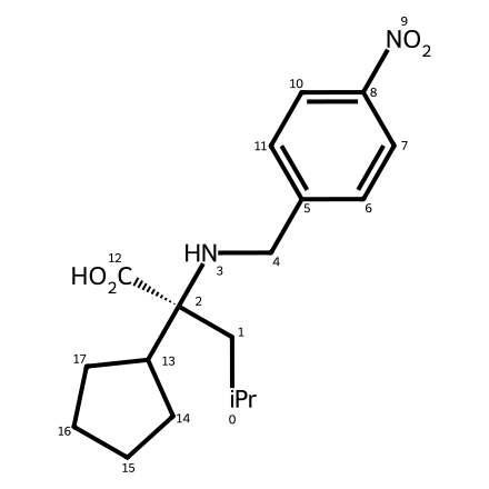 CC(C)C[C@@](NCc1ccc([N+](=O)[O-])cc1)(C(=O)O)C1CCCC1